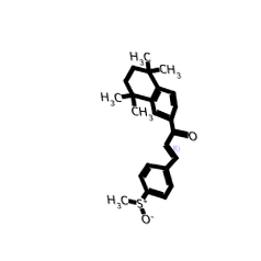 C[S+]([O-])c1ccc(/C=C/C(=O)c2ccc3c(c2)C(C)(C)CCC3(C)C)cc1